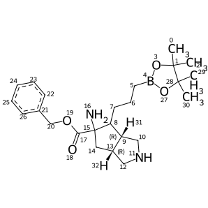 CC1(C)OB(CCCC2[C@@H]3CNC[C@@H]3CC2(N)C(=O)OCc2ccccc2)OC1(C)C